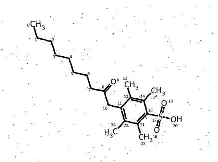 CCCCCCCCC(=O)Cc1c(C)c(C)c(S(=O)(=O)O)c(C)c1C